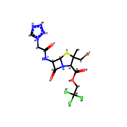 CC1(CBr)SC2C(NC(=O)Cn3cnnn3)C(=O)N2C1C(=O)OCC(Cl)(Cl)Cl